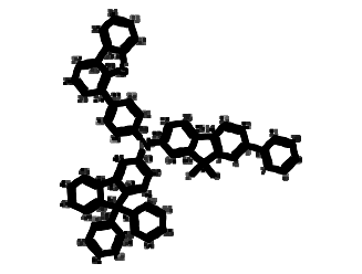 CC1(C)c2cc(-c3ccccc3)ccc2-c2ccc(N(c3ccc(-c4cccc5c4sc4ccccc45)cc3)c3ccc4c(c3)-c3ccccc3C4(c3ccccc3)c3ccccc3)cc21